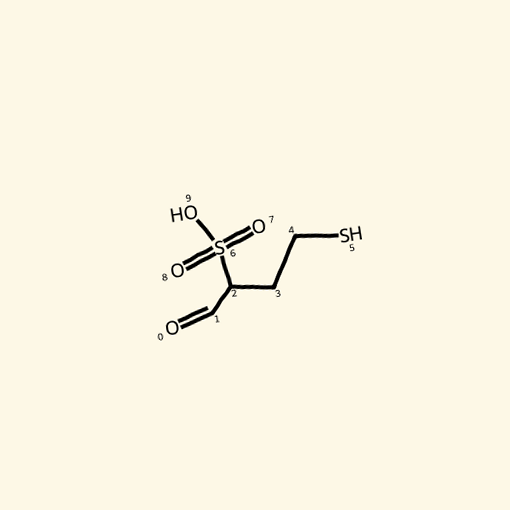 O=CC(CCS)S(=O)(=O)O